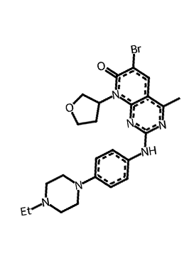 CCN1CCN(c2ccc(Nc3nc(C)c4cc(Br)c(=O)n(C5CCOC5)c4n3)cc2)CC1